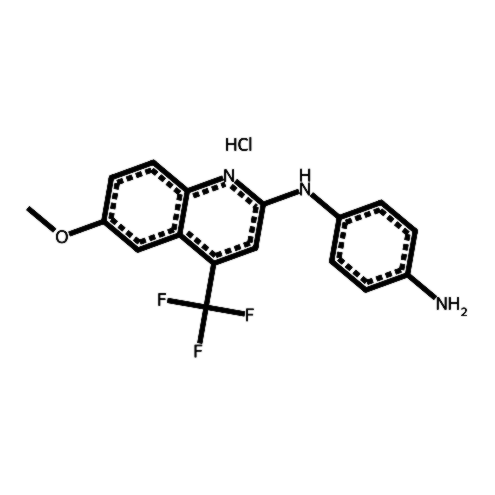 COc1ccc2nc(Nc3ccc(N)cc3)cc(C(F)(F)F)c2c1.Cl